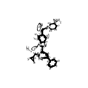 Cn1c(-c2cc(-c3ccccc3)nn2CC2CC2)nc2cc(C(=O)N3CCC[C@@H](N)C3)ccc21